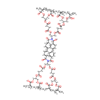 C=C(C)C(=O)OCC(COC(=O)C(=C)C)OC(=O)CCC(=O)OCC(COC(=O)CCC(=O)OC(COC(=O)C(=C)C)COC(=O)C(=C)C)N1C(=O)c2ccc3c4ccc5c6c(ccc(c7ccc(c2c37)C1=O)c64)C(=O)N(C(COC(=O)CCC(=O)OC(COC(=O)C(=C)C)COC(=O)C(=C)C)COC(=O)CCC(=O)OC(COC(=O)C(=C)C)COC(O)C(=C)C)C5=O